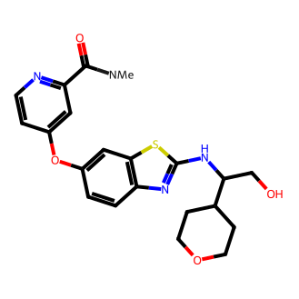 CNC(=O)c1cc(Oc2ccc3nc(NC(CO)C4CCOCC4)sc3c2)ccn1